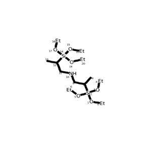 CCO[Si](OCC)(OCC)C(C)CNCC(C)[Si](OCC)(OCC)OCC